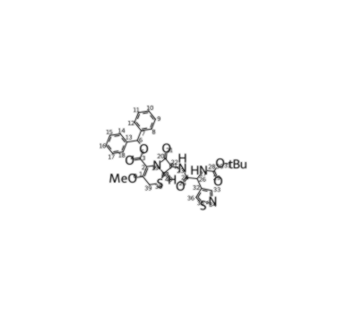 COC1=C(C(=O)OC(c2ccccc2)c2ccccc2)N2C(=O)[C@@H](NC(=O)C(NC(=O)OC(C)(C)C)c3cnsc3)[C@H]2SC1